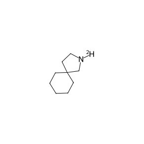 [2H]N1CCC2(CCCCC2)C1